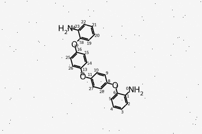 Nc1ccccc1Oc1ccc(Oc2ccc(Oc3ccccc3N)cc2)cc1